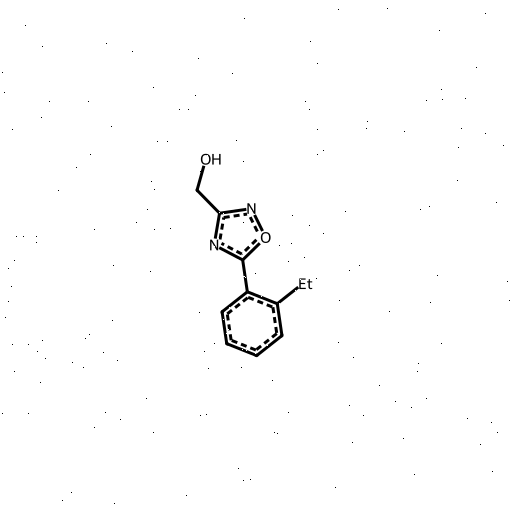 CCc1ccccc1-c1nc(CO)no1